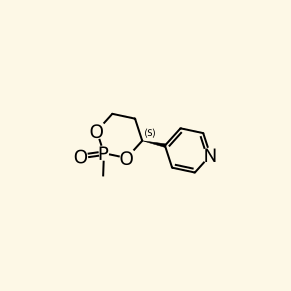 CP1(=O)OCC[C@@H](c2ccncc2)O1